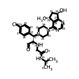 CC(C)NC(=O)CNC(C=O)[C@H](c1ccc(Cl)cc1)N1CCN(c2ncnc3c2[C@H](C)C[C@H]3O)CC1